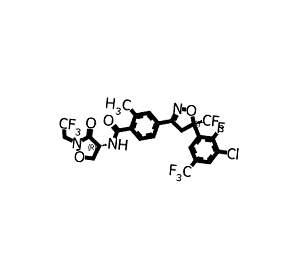 Cc1cc(C2=NO[C@@](c3cc(C(F)(F)F)cc(Cl)c3F)(C(F)(F)F)C2)ccc1C(=O)N[C@@H]1CON(CC(F)(F)F)C1=O